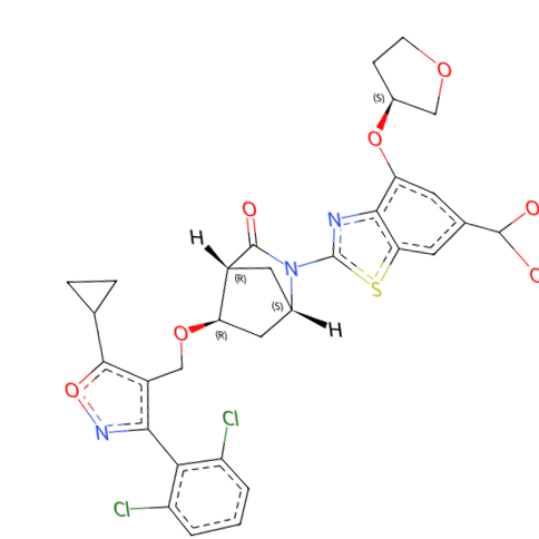 O=C1[C@@H]2C[C@@H](C[C@H]2OCc2c(-c3c(Cl)cccc3Cl)noc2C2CC2)N1c1nc2c(O[C@H]3CCOC3)cc(C(O)O)cc2s1